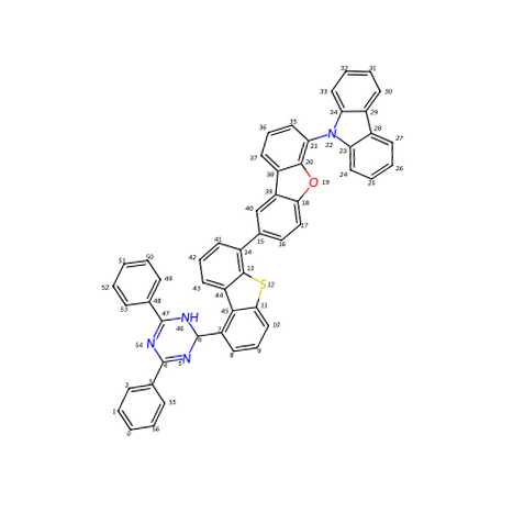 c1ccc(C2=NC(c3cccc4sc5c(-c6ccc7oc8c(-n9c%10ccccc%10c%10ccccc%109)cccc8c7c6)cccc5c34)NC(c3ccccc3)=N2)cc1